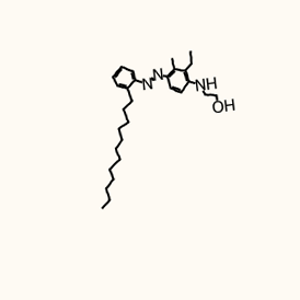 CCCCCCCCCCCCc1ccccc1N=Nc1ccc(NCCO)c(CC)c1C